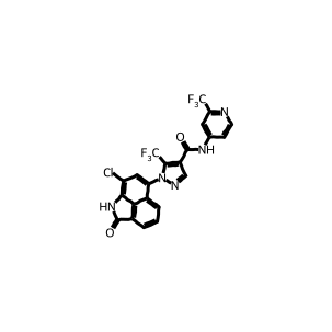 O=C(Nc1ccnc(C(F)(F)F)c1)c1cnn(-c2cc(Cl)c3c4c(cccc24)C(=O)N3)c1C(F)(F)F